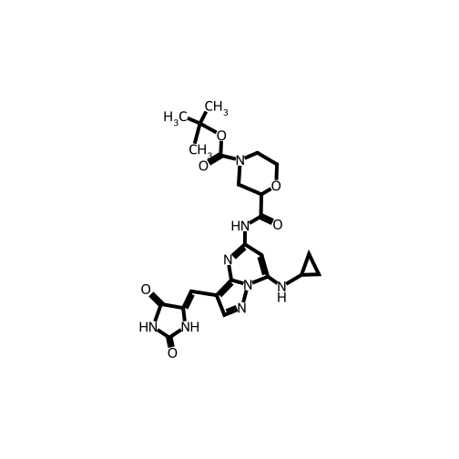 CC(C)(C)OC(=O)N1CCOC(C(=O)Nc2cc(NC3CC3)n3ncc(/C=C4\NC(=O)NC4=O)c3n2)C1